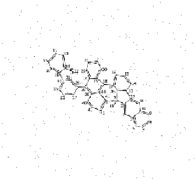 CC1(C)c2cc3ccccc3cc2-c2cccc(-c3c4ccccc4c(-c4cccc5c4sc4ccccc45)c4ccccc34)c21